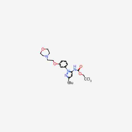 CC(C)(C)c1cc(NC(=O)OCC(Cl)(Cl)Cl)n(-c2cccc(OCCN3CCOCC3)c2)n1